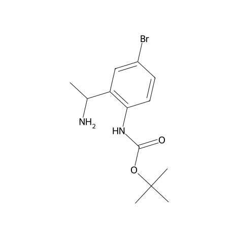 CC(N)c1cc(Br)ccc1NC(=O)OC(C)(C)C